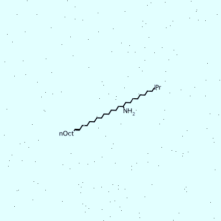 CCCCCCCCC=CCCCCCCCCCCCC(N)CCCCCCCCC(C)C